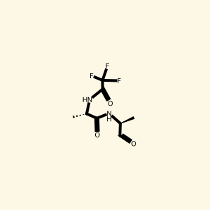 C[C@H](NC(=O)C(F)(F)F)C(=O)N[C@@H](C)[C]=O